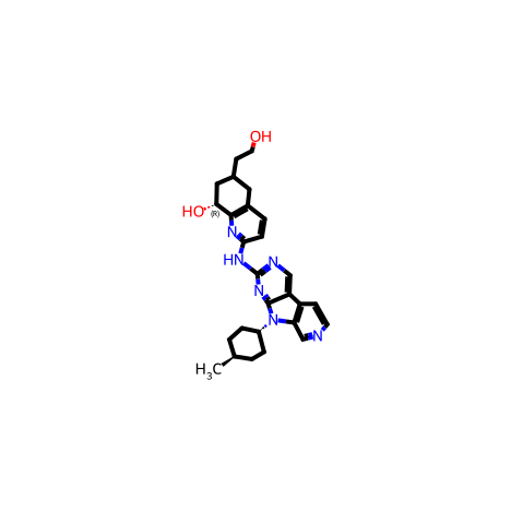 C[C@H]1CC[C@H](n2c3cnccc3c3cnc(Nc4ccc5c(n4)[C@H](O)CC(CCO)C5)nc32)CC1